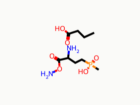 CCCC(=O)O.CP(=O)(O)CCC(N)C(=O)ON